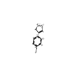 C1=CSSC1.Ic1ccccc1